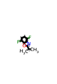 CC(C)c1nc2c(F)ccc(F)c2o1